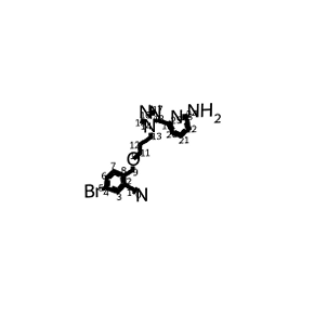 N#Cc1cc(Br)ccc1COCCCn1cnnc1-c1cccc(N)n1